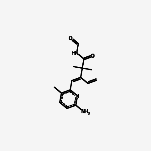 C=C/C(=C\c1nc(N)ccc1C)C(C)(C)C(=O)NC=O